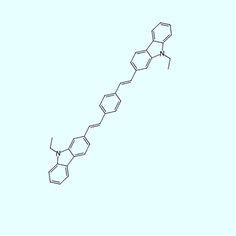 CCn1c2ccccc2c2ccc(/C=C/c3ccc(/C=C/c4ccc5c6ccccc6n(CC)c5c4)cc3)cc21